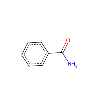 NC(=O)c1cc[c]cc1